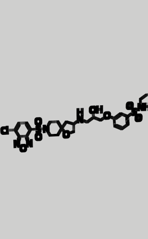 CCNS(=O)(=O)c1cccc(OCC(O)CNC2COC3(CCN(S(=O)(=O)c4ccc(Cl)c5nonc45)CC3)C2)c1